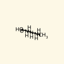 CCNCCNCCCCCNCCNCCNCCCCCC(=O)O